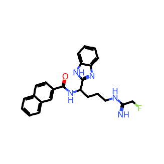 N=C(CF)NCCCC(NC(=O)c1ccc2ccccc2c1)c1nc2ccccc2[nH]1